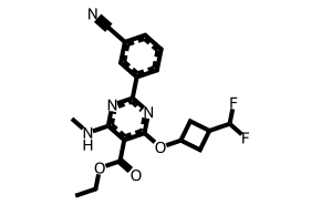 CCOC(=O)c1c(NC)nc(-c2cccc(C#N)c2)nc1OC1CC(C(F)F)C1